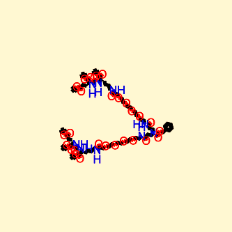 CC(C)(C)OC(=O)CC[C@H](NC(=O)N[C@@H](CCCCNC(=O)COCCOCCOCCOCCNC(=O)CCN(CCC(=O)NCCOCCOCCOCCOCC(=O)NCCCC[C@H](NC(=O)N[C@@H](CCC(=O)OC(C)(C)C)C(=O)OC(C)(C)C)C(=O)OC(C)(C)C)C(=O)OCc1ccccc1)C(=O)OC(C)(C)C)C(=O)OC(C)(C)C